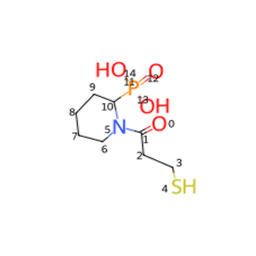 O=C(CCS)N1CCCCC1P(=O)(O)O